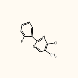 Cc1cnc(-c2ccccc2F)nc1Cl